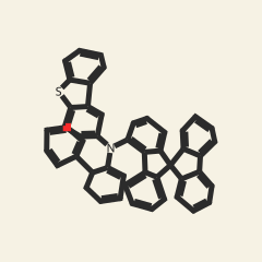 C1=CCC(c2ccccc2)C(N(c2ccc3sc4ccccc4c3c2)c2cccc3c2-c2ccccc2C32c3ccccc3-c3ccccc32)=C1